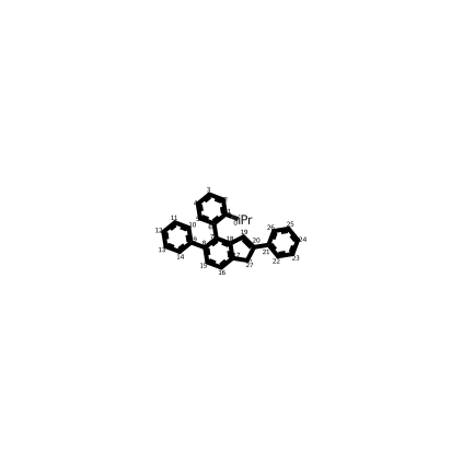 CC(C)c1ccccc1-c1c(-c2ccccc2)ccc2c1C=C(c1ccccc1)[CH]2